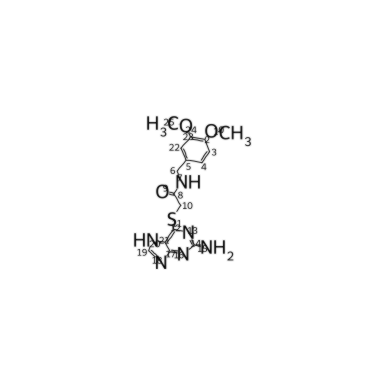 COc1ccc(CNC(=O)CSc2nc(N)nc3nc[nH]c23)cc1OC